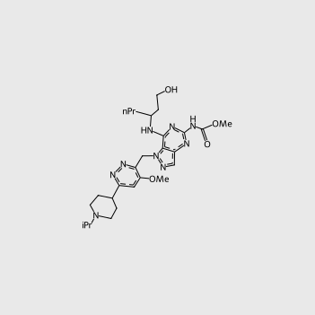 CCCC(CCO)Nc1nc(NC(=O)OC)nc2cnn(Cc3nnc(C4CCN(C(C)C)CC4)cc3OC)c12